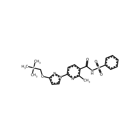 Cc1nc(-n2ccc(OCS(C)(C)C)n2)ccc1C(=O)NS(=O)(=O)c1ccccc1